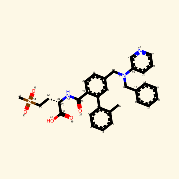 Cc1ccccc1-c1cc(CN(Cc2ccccc2)c2cccnc2)ccc1C(=O)N[C@@H](CCS(C)(=O)=O)C(=O)O